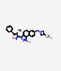 Cn1nc(-c2noc(-c3ccccc3)c2C(F)(F)F)c2c1-c1ccc(CN3CC(C(=O)O)C3)cc1CC2